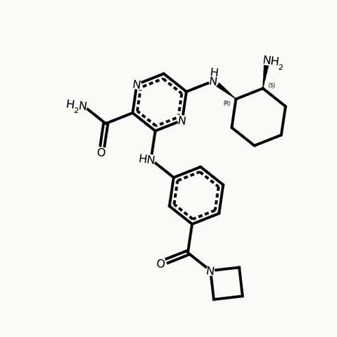 NC(=O)c1ncc(N[C@@H]2CCCC[C@@H]2N)nc1Nc1cccc(C(=O)N2CCC2)c1